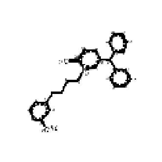 CC(=O)Oc1cccc(CCCCn2cc(C(c3ccccc3)c3ccccc3)ccc2=O)c1